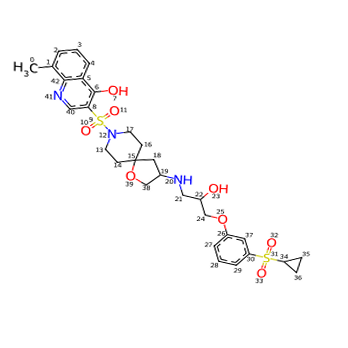 Cc1cccc2c(O)c(S(=O)(=O)N3CCC4(CC3)CC(NCC(O)COc3cccc(S(=O)(=O)C5CC5)c3)CO4)cnc12